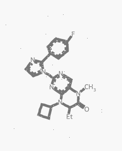 CCC1C(=O)N(C)c2cnc(-n3ccnc3-c3ccc(F)cc3)nc2N1C1CCC1